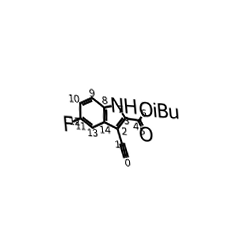 C#Cc1c(C(=O)OCC(C)C)[nH]c2ccc(F)cc12